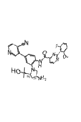 COc1cccc(F)c1-c1nccc(C(=O)Nc2ccc(-c3cnccc3C#N)cc2N2C[C@@H](N)C[C@H]2C(C)(C)O)n1